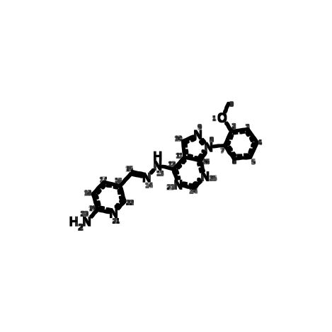 COc1ccccc1-n1ncc2c(N/N=C/c3ccc(N)nc3)ncnc21